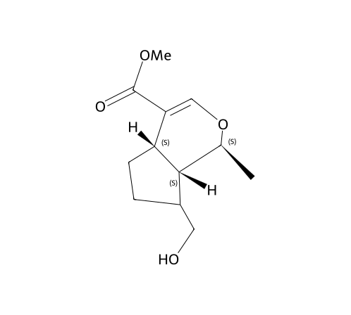 COC(=O)C1=CO[C@@H](C)[C@@H]2C(CO)CC[C@H]12